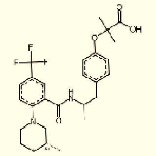 CC(Cc1ccc(OC(C)(C)C(=O)O)cc1)NC(=O)c1cc(C(F)(F)F)ccc1N1CCC[C@@H](C)C1